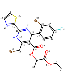 CCOC(=O)C(C)OC(=O)C1=C(CBr)NC(c2nccs2)=NC1c1ccc(F)cc1Br